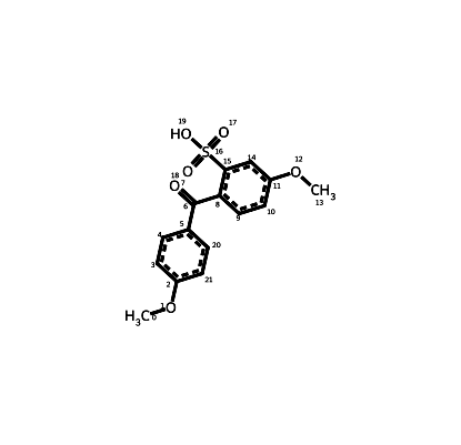 COc1ccc(C(=O)c2ccc(OC)cc2S(=O)(=O)O)cc1